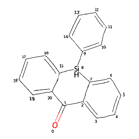 O=C1c2ccccc2[SiH](c2ccccc2)c2ccccc21